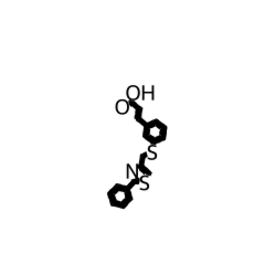 O=C(O)C=Cc1cccc(SCc2csc(-c3ccccc3)n2)c1